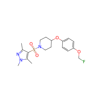 Cc1nn(C)c(C)c1S(=O)(=O)N1CCC(Oc2ccc(OCF)cc2)CC1